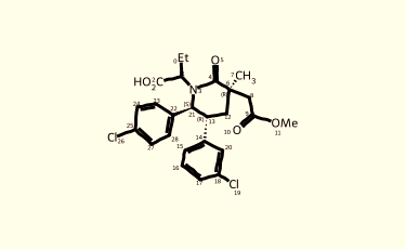 CCC(C(=O)O)N1C(=O)[C@@](C)(CC(=O)OC)C[C@H](c2cccc(Cl)c2)[C@H]1c1ccc(Cl)cc1